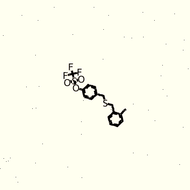 Cc1ccccc1CSCc1ccc(OS(=O)(=O)C(F)(F)F)cc1